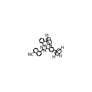 N#Cc1cccc2c(-c3nc(-c4ccc(C56C[C@H]7C[C@@H](C5)C[C@@H](C6)C7)cc4)nc(-c4ccccc4C45CC6C[C@H](C4)C[C@@H](C6)C5)n3)cccc12